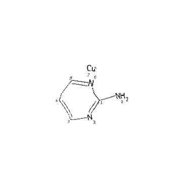 Nc1ncccn1.[Cu]